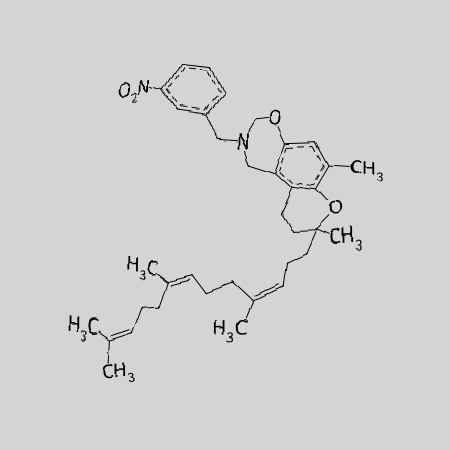 CC(C)=CCCC(C)=CCCC(C)=CCCC1(C)CCc2c3c(cc(C)c2O1)OCN(Cc1cccc([N+](=O)[O-])c1)C3